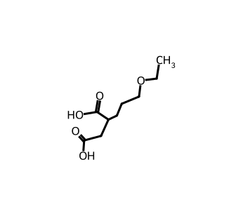 CCOCCCC(CC(=O)O)C(=O)O